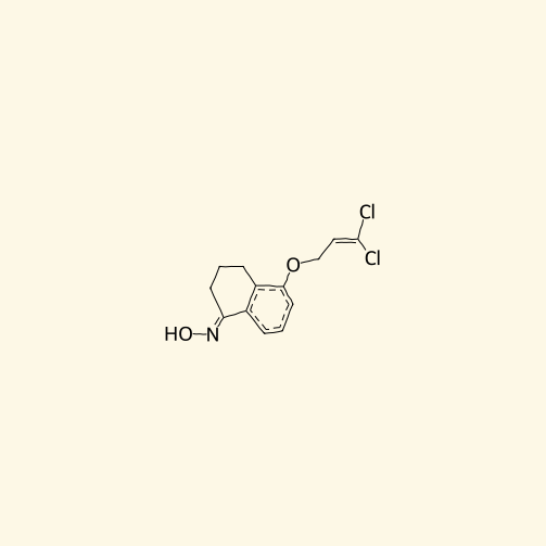 ON=C1CCCc2c(OCC=C(Cl)Cl)cccc21